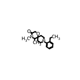 CCc1ccccc1N1CCC2(CC1)OCC(=O)N(C)C2C